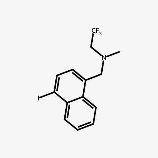 CN(Cc1ccc(I)c2ccccc12)CC(F)(F)F